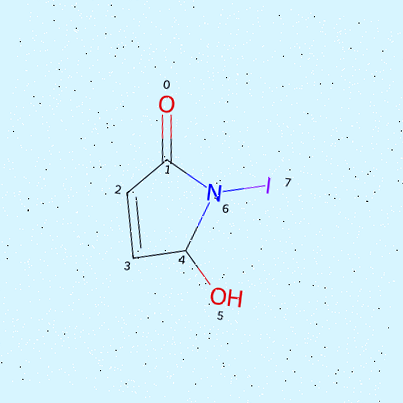 O=C1C=CC(O)N1I